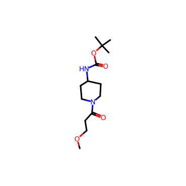 COCCC(=O)N1CCC(NC(=O)OC(C)(C)C)CC1